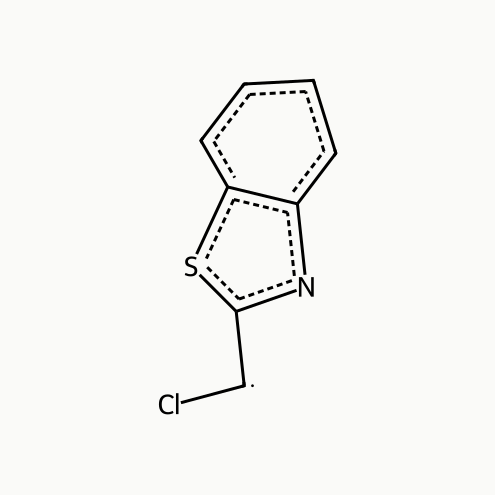 Cl[CH]c1nc2ccccc2s1